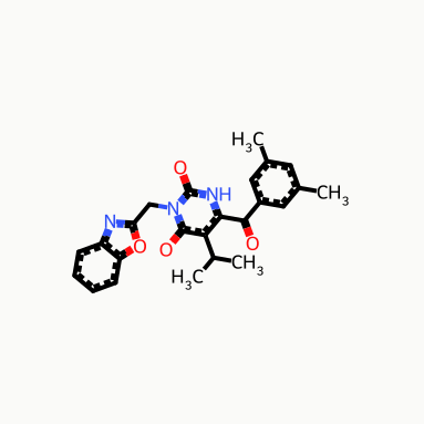 Cc1cc(C)cc(C(=O)c2[nH]c(=O)n(Cc3nc4ccccc4o3)c(=O)c2C(C)C)c1